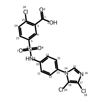 O=C(O)c1cc(S(=O)(=O)Nc2ccc(-n3cnc(Cl)c3Cl)cc2)ccc1Cl